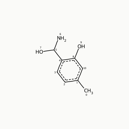 Cc1ccc(C(N)O)c(O)c1